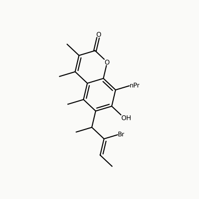 CC=C(Br)C(C)c1c(O)c(CCC)c2oc(=O)c(C)c(C)c2c1C